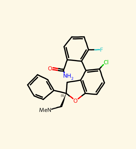 CNC[C@@]1(c2ccccc2)Cc2c(ccc(Cl)c2-c2c(F)cccc2C(N)=O)O1